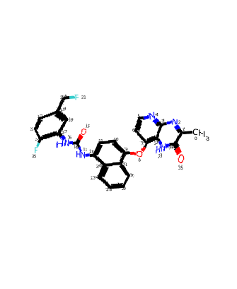 Cc1nc2nccc(Oc3ccc(NC(=O)Nc4cc(CF)ccc4F)c4ccccc34)c2[nH]c1=O